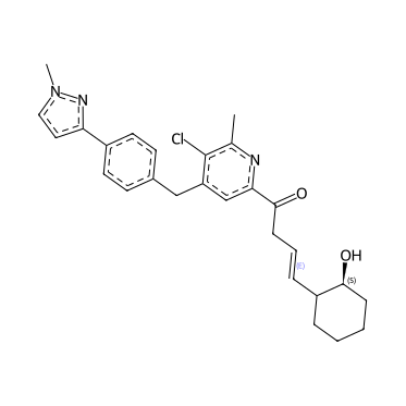 Cc1nc(C(=O)C/C=C/C2CCCC[C@@H]2O)cc(Cc2ccc(-c3ccn(C)n3)cc2)c1Cl